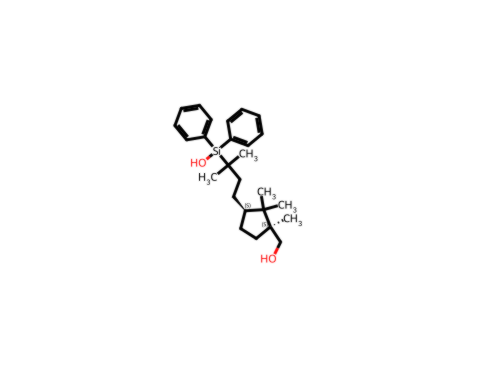 CC1(C)[C@H](CCC(C)(C)[Si](O)(c2ccccc2)c2ccccc2)CC[C@]1(C)CO